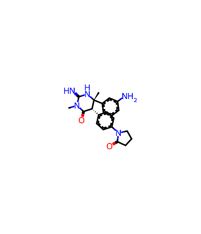 CN1C(=N)N[C@](C)(c2cccc(N)c2)[C@H](c2ccc(N3CCCC3=O)cc2)C1=O